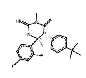 C=C1[C@H](c2ccc(C(C)(C)C)cc2)[C@@](C)(c2ccc(F)cc2F)NC(=N)N1C